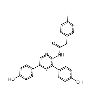 O=C(Cc1ccc(I)cc1)Nc1ncc(-c2ccc(O)cc2)nc1-c1ccc(O)cc1